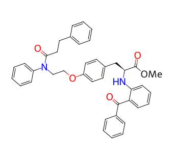 COC(=O)[C@H](Cc1ccc(OCCN(C(=O)CCc2ccccc2)c2ccccc2)cc1)Nc1ccccc1C(=O)c1ccccc1